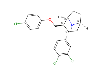 CN1[C@H]2CC[C@@H]1[C@H](COc1ccc(Cl)cc1)[C@@H](c1ccc(Cl)c(Cl)c1)C2